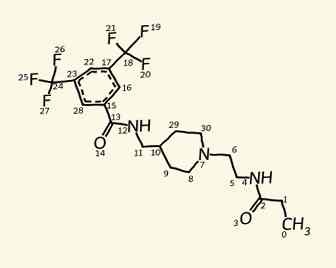 CCC(=O)NCCN1CCC(CNC(=O)c2cc(C(F)(F)F)cc(C(F)(F)F)c2)CC1